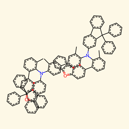 Cc1cc(-c2ccc(N(c3ccc4c(c3)C(c3ccccc3)(c3ccccc3)c3ccccc3-4)c3c(C)cccc3-c3ccc4oc5ccccc5c4c3)c(C)c2)ccc1N(c1ccc2c(c1)C(c1ccccc1)(c1ccccc1)c1ccccc1-2)c1c(C)cccc1-c1ccc2oc3ccccc3c2c1